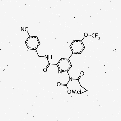 COC(=O)N(C(=O)C1CC1)c1cc(-c2ccc(OC(F)(F)F)cc2)cc(C(=O)NCc2ccc(C#N)cc2)n1